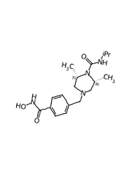 CC(C)NC(=O)N1[C@H](C)CN(Cc2ccc(C(=O)NO)cc2)C[C@@H]1C